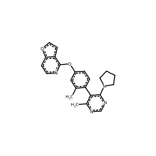 Cc1cc(Oc2nccc3occc23)ccc1-c1c(C)ncnc1N1CCCC1